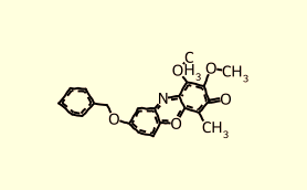 COc1c2nc3cc(OCc4ccccc4)ccc3oc-2c(C)c(=O)c1OC